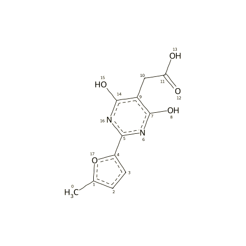 Cc1ccc(-c2nc(O)c(CC(=O)O)c(O)n2)o1